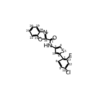 O=C(Nc1csc(-c2ccc(Cl)cc2F)c1)c1nc2ccccc2o1